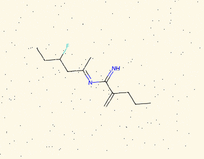 C=C(CCC)C(=N)/N=C(\C)CC(F)CC